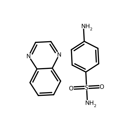 Nc1ccc(S(N)(=O)=O)cc1.c1ccc2nccnc2c1